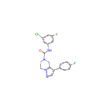 O=C(Nc1cc(F)cc(Cl)c1)N1CCn2ncc(-c3ccc(F)cc3)c2C1